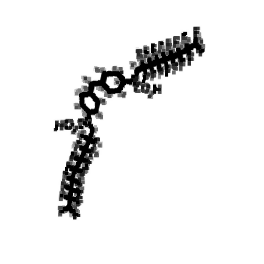 O=C(O)N(CC(F)(F)C(F)(F)C(F)(F)C(F)(F)C(F)(F)C(F)(F)C(F)(F)C(F)F)C1CCC(CC2CCC(N(CC(F)(F)C(F)(F)C(F)(F)C(F)(F)C(F)(F)C(F)(F)C(F)(F)C(F)F)C(=O)O)CC2)CC1